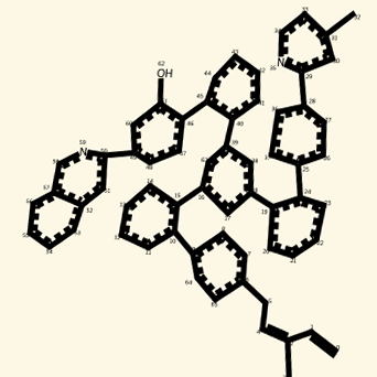 C=C/C(C)=C\Cc1ccc(-c2ccccc2-c2cc(-c3ccccc3-c3ccc(-c4cc(C)ccn4)cc3)cc(-c3ccccc3-c3ccc(-c4cc5ccccc5cn4)cc3O)c2)cc1